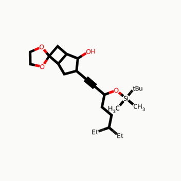 CCC(CC)CCC(C#CC1CC2C(CC23OCCO3)C1O)O[Si](C)(C)C(C)(C)C